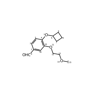 O=Cc1ccc(OC2CCC2)c(OCCOI)c1